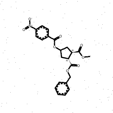 COC(=O)[C@@H]1CC(OC(=O)c2ccc([N+](=O)[O-])cc2)C[C@H]1C(=O)OCc1ccccc1